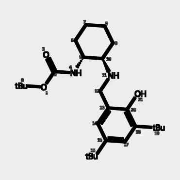 CC(C)(C)OC(=O)N[C@@H]1CCCC[C@H]1NCc1cc(C(C)(C)C)cc(C(C)(C)C)c1O